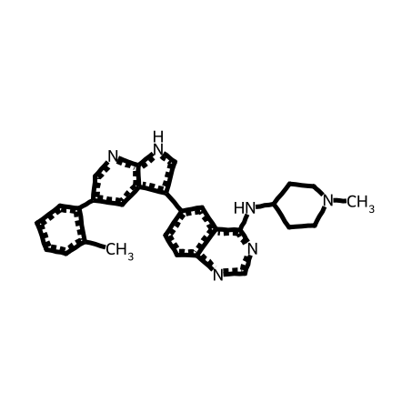 Cc1ccccc1-c1cnc2[nH]cc(-c3ccc4ncnc(NC5CCN(C)CC5)c4c3)c2c1